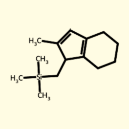 CC1=[C]C2=C(CCCC2)C1C[Si](C)(C)C